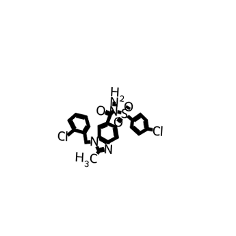 Cc1nc2ccc(C(=O)N(N)S(=O)(=O)c3ccc(Cl)cc3)cc2n1Cc1ccccc1Cl